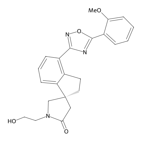 COc1ccccc1-c1nc(-c2cccc3c2CC[C@@]32CC(=O)N(CCO)C2)no1